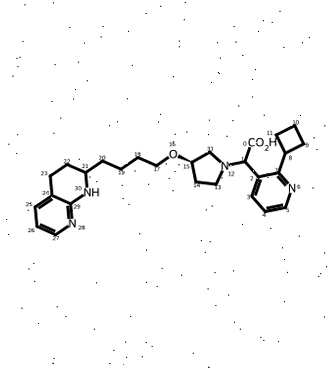 O=C(O)C(c1cccnc1C1CCC1)N1CC[C@@H](OCCCCC2CCc3cccnc3N2)C1